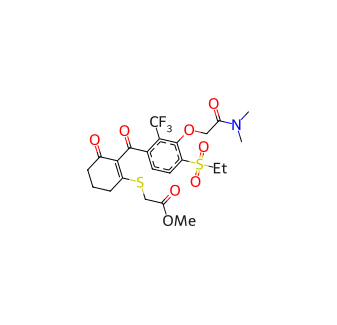 CCS(=O)(=O)c1ccc(C(=O)C2=C(SCC(=O)OC)CCCC2=O)c(C(F)(F)F)c1OCC(=O)N(C)C